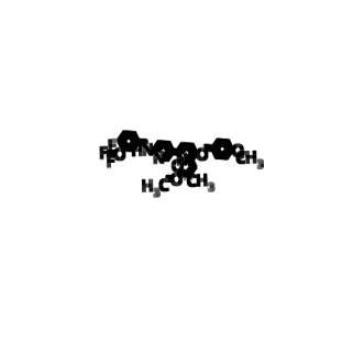 CCOC(=O)[C@H](C)Cc1nc(-c2ccc(NCc3cccc(OC(F)(F)F)c3)nc2)ccc1OCc1ccc(OC)cc1